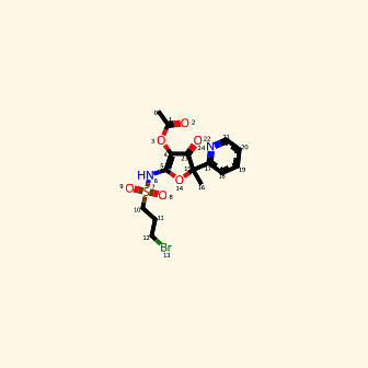 CC(=O)OC1=C(NS(=O)(=O)CCCBr)OC(C)(c2ccccn2)C1=O